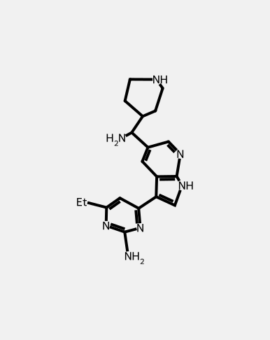 CCc1cc(-c2c[nH]c3ncc(C(N)C4CCNCC4)cc23)nc(N)n1